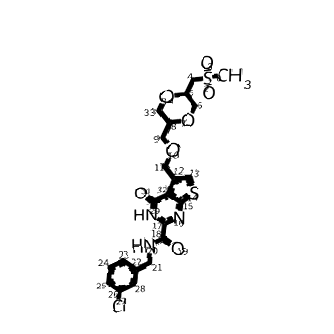 CS(=O)(=O)CC1COC(COCc2csc3nc(C(=O)NCc4cccc(Cl)c4)[nH]c(=O)c23)CO1